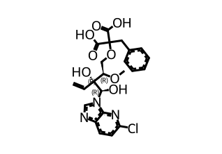 C=C[C@@](O)([C@@H](COC(Cc1ccccc1)(C(=O)O)C(=O)O)OC)[C@@H](O)n1cnc2ccc(Cl)nc21